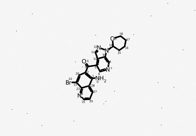 Nc1c(C(=O)c2cncc3c2cnn3C2CCCCO2)cc(Br)c2ncccc12